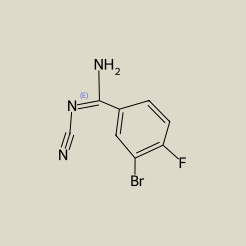 N#C/N=C(/N)c1ccc(F)c(Br)c1